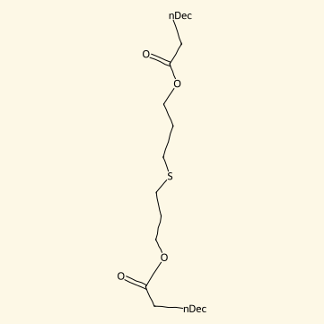 CCCCCCCCCCCC(=O)OCCCSCCCOC(=O)CCCCCCCCCCC